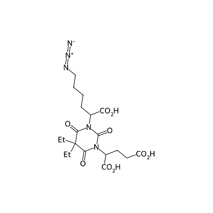 CCC1(CC)C(=O)N(C(CCCCN=[N+]=[N-])C(=O)O)C(=O)N(C(CCC(=O)O)C(=O)O)C1=O